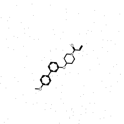 C=CC(=O)N1CCC(Oc2cccc(-c3ccc(OC)cc3)c2)CC1